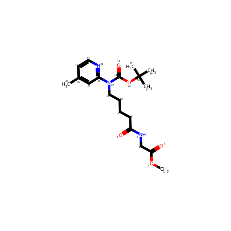 COC(=O)CNC(=O)CCCCN(C(=O)OC(C)(C)C)c1cc(C)ccn1